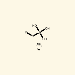 O[Si](O)(O)OF.[AlH3].[Fe]